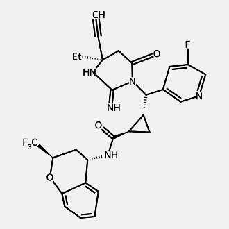 C#C[C@@]1(CC)CC(=O)N(C(c2cncc(F)c2)[C@@H]2C[C@H]2C(=O)N[C@H]2C[C@H](C(F)(F)F)Oc3ccccc32)C(=N)N1